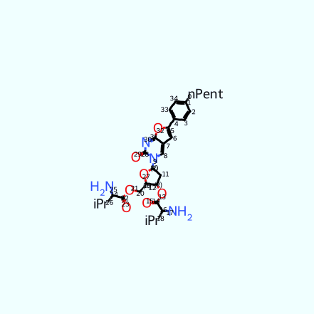 CCCCCc1ccc(-c2cc3cn([C@H]4C[C@@H](OC(=O)C(N)C(C)C)[C@@H](COC(=O)C(N)C(C)C)O4)c(=O)nc3o2)cc1